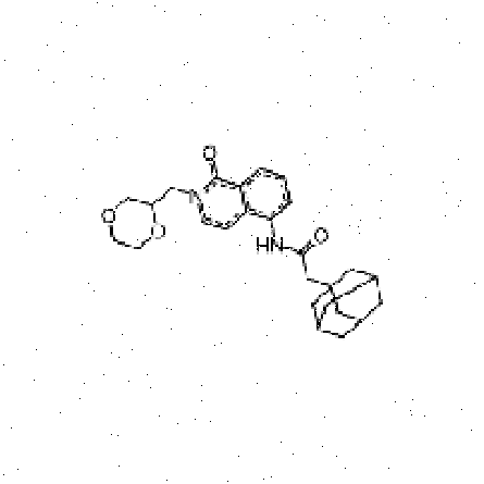 O=C(CC12CC3CC(CC(C3)C1)C2)Nc1cccc2c(=O)n(CC3COCCO3)ccc12